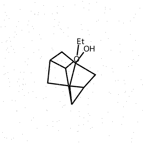 CCOC1C2CC3(O)CC4C1C43C2